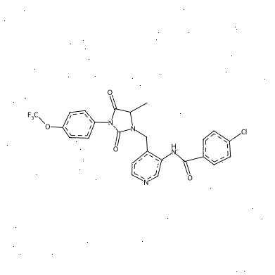 CC1C(=O)N(c2ccc(OC(F)(F)F)cc2)C(=O)N1Cc1ccncc1NC(=O)c1ccc(Cl)cc1